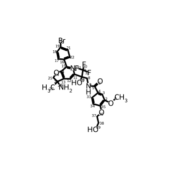 COc1cc(C(=O)NCC(O)(c2cc3c(c(-c4ccc(Br)cc4)n2)OCC3(C)N)C(F)(F)F)ccc1OCCO